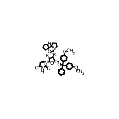 COc1ccc(C(OC[C@H]2O[C@@H](n3ccc(=O)[nH]c3=O)[C@H](F)[C@@H]2O[P@@]2OC3(CCCC3)[C@@H]3CCCN32)(c2ccccc2)c2ccc(OC)cc2)cc1